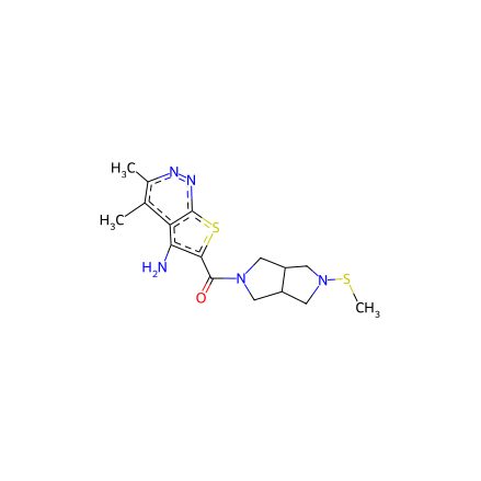 CSN1CC2CN(C(=O)c3sc4nnc(C)c(C)c4c3N)CC2C1